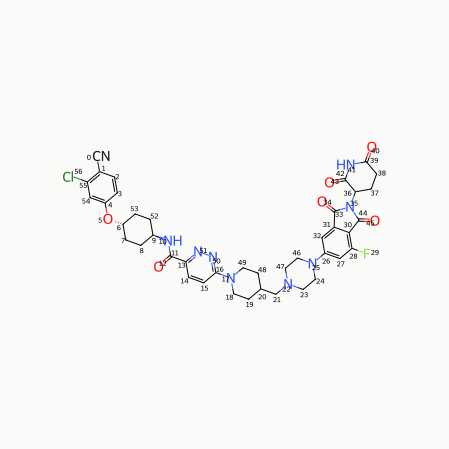 N#Cc1ccc(O[C@H]2CC[C@H](NC(=O)c3ccc(N4CCC(CN5CCN(c6cc(F)c7c(c6)C(=O)N(C6CCC(=O)NC6=O)C7=O)CC5)CC4)nn3)CC2)cc1Cl